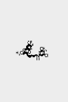 C=C/C=C(\C=C/CCCNc1cc(Cl)nc(C)n1)Oc1ncc(C(F)(F)F)cc1Cl